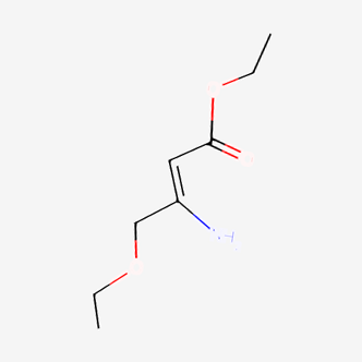 CCOCC(N)=CC(=O)OCC